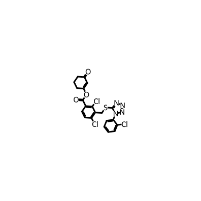 O=C1C=C(OC(=O)c2ccc(Cl)c(CSc3nnnn3-c3ccccc3Cl)c2Cl)CCC1